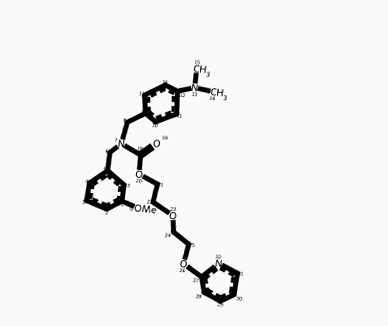 COc1cccc(CN(Cc2ccc(N(C)C)cc2)C(=O)OCCOCCOc2ccccn2)c1